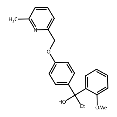 CCC(O)(c1ccc(OCc2cccc(C)n2)cc1)c1ccccc1OC